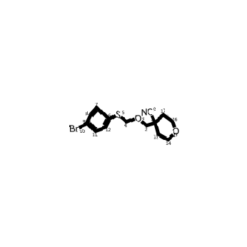 N#CC1(COCSc2ccc(Br)cc2)CCOCC1